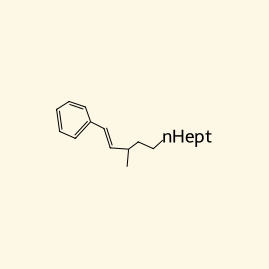 CCCCCCCCCC(C)/C=C/c1ccccc1